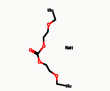 CC(C)(C)COCCOC(=O)OCCOCC(C)(C)C.[NaH]